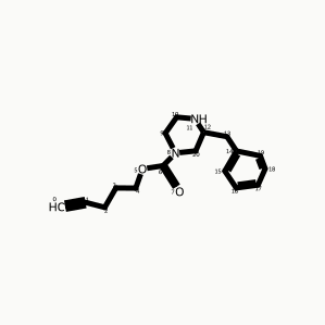 C#CCCCOC(=O)N1CCNC(Cc2ccccc2)C1